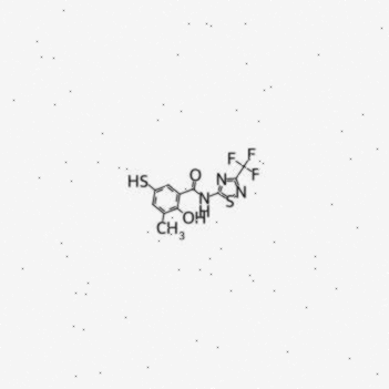 Cc1cc(S)cc(C(=O)Nc2nc(C(F)(F)F)ns2)c1O